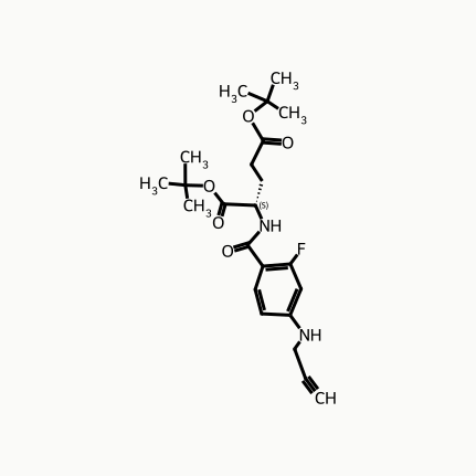 C#CCNc1ccc(C(=O)N[C@@H](CCC(=O)OC(C)(C)C)C(=O)OC(C)(C)C)c(F)c1